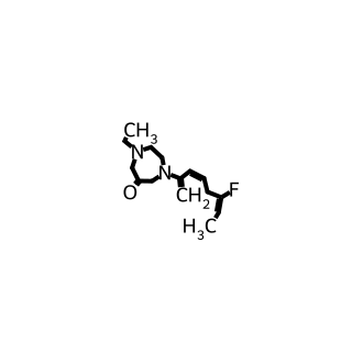 C=C(/C=C\C/C(F)=C\C)N1CCN(CC)CC(=O)C1